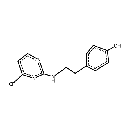 Oc1ccc(CCNc2nccc(Cl)n2)cc1